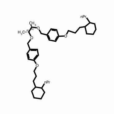 CCCC1CCCCC1CCCOc1ccc(CO[C@H](C)[C@@H](C)OCc2ccc(OCCCC3CCCCC3CCC)cc2)cc1